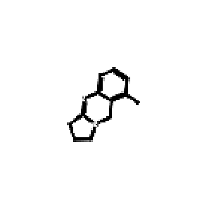 Cc1cccc2c1CN1CCCC1=N2